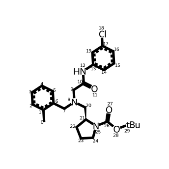 Cc1ccccc1CN(CC(=O)Nc1cccc(Cl)c1)C[C@@H]1CCCN1C(=O)OC(C)(C)C